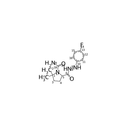 CC1(C)CCC(C(=O)NNc2ccc(F)cc2)N1C(N)=O